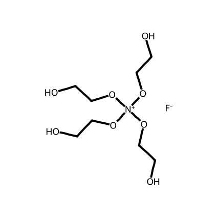 OCCO[N+](OCCO)(OCCO)OCCO.[F-]